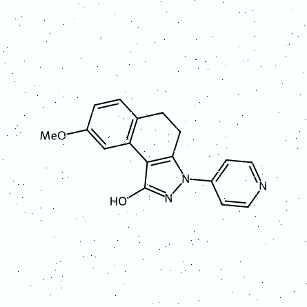 COc1ccc2c(c1)-c1c(O)nn(-c3ccncc3)c1CC2